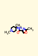 Cc1nc(C(=O)NC2(C)CCN(C)CC2)co1